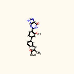 CCOc1cc(-c2cccc(CC(C)C(=O)OC)c2)ccc1-c1nc2[nH]cnc2c(=O)[nH]1